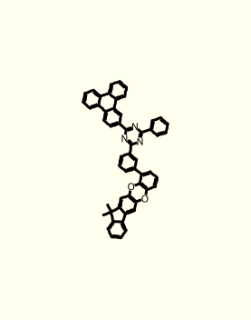 CC1(C)c2ccccc2-c2cc3c(cc21)Oc1c(cccc1-c1cccc(-c2nc(-c4ccccc4)nc(-c4ccc5c6ccccc6c6ccccc6c5c4)n2)c1)O3